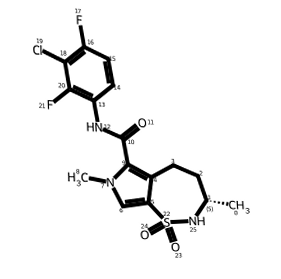 C[C@H]1CCc2c(cn(C)c2C(=O)Nc2ccc(F)c(Cl)c2F)S(=O)(=O)N1